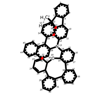 CC1(C)c2ccccc2-c2ccc(N(c3cccc4c3OC3C=CC=CC3c3ccccc3-c3ccccc3-4)c3ccc4ccccc4c3-c3ccccc3)cc21